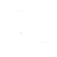 C=C1CC(O)CC2CC(=O)CCN12